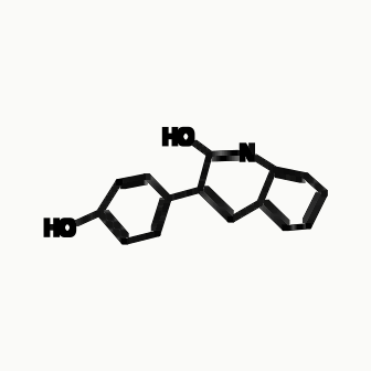 Oc1ccc(-c2cc3ccccc3nc2O)cc1